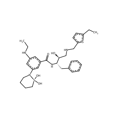 CCNc1cc(C(=O)N[C@@H](Cc2ccccc2)[C@@H](O)CNCc2ccc(CC)s2)cc(N2CCCCS2(O)O)c1